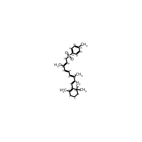 CC(C=CC1=C(C)CCCC1(C)C)=CC=CC(C)=CCS(=O)(=O)c1ccc(C)cc1